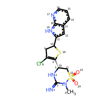 CN1C(=N)N[C@H](C2=C(Cl)CC(c3cc4cccnc4[nH]3)S2)CS1(=O)=O